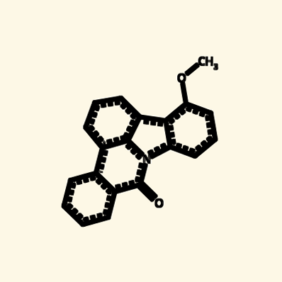 COc1cccc2c1c1cccc3c4ccccc4c(=O)n2c31